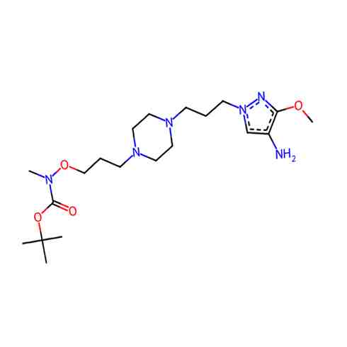 COc1nn(CCCN2CCN(CCCON(C)C(=O)OC(C)(C)C)CC2)cc1N